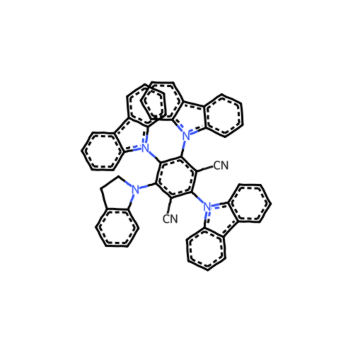 N#Cc1c(N2CCc3ccccc32)c(-n2c3ccccc3c3ccccc32)c(-n2c3ccccc3c3ccccc32)c(C#N)c1-n1c2ccccc2c2ccccc21